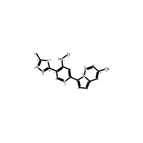 CCNc1cc(-c2ccc3cc(C#N)cnn23)ncc1-c1nnc(C)s1